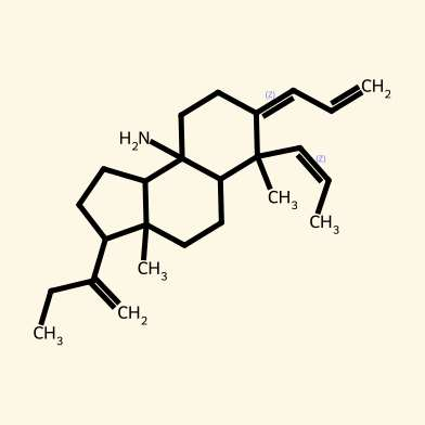 C=C/C=C1/CCC2(N)C(CCC3(C)C(C(=C)CC)CCC32)C1(C)/C=C\C